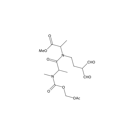 COC(=O)C(C)N(CCC(C=O)C=O)C(=O)C(C)N(C)C(=O)OCOC(C)=O